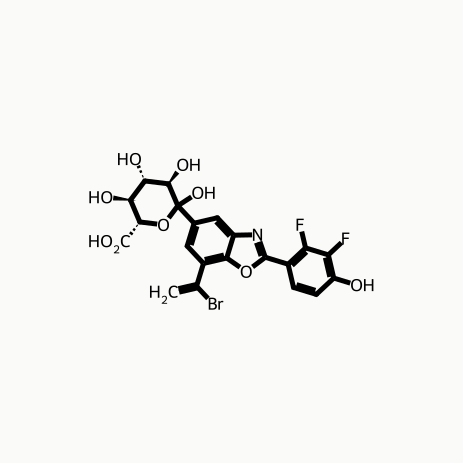 C=C(Br)c1cc(C2(O)O[C@H](C(=O)O)[C@@H](O)[C@H](O)[C@H]2O)cc2nc(-c3ccc(O)c(F)c3F)oc12